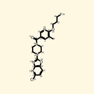 Cc1cc(C(=O)N2CCN(c3nc4nc(Cl)ccc4o3)CC2)cnc1OCCCF